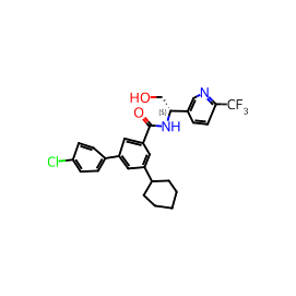 O=C(N[C@H](CO)c1ccc(C(F)(F)F)nc1)c1cc(-c2ccc(Cl)cc2)cc(C2CCCCC2)c1